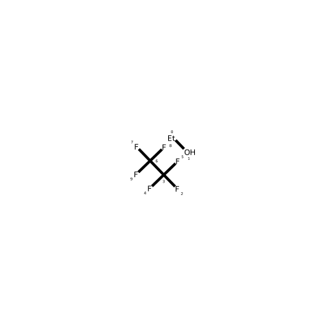 CCO.FC(F)(F)C(F)(F)F